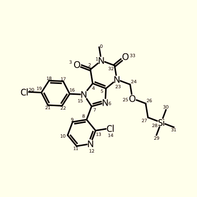 Cn1c(=O)c2c(nc(-c3cccnc3Cl)n2-c2ccc(Cl)cc2)n(COCC[Si](C)(C)C)c1=O